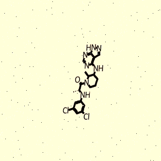 CC1C(Nc2ncnc3[nH]ncc23)CCCN1C(=O)[C@@H](C)Nc1cc(Cl)cc(Cl)c1